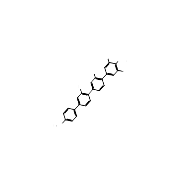 CCCc1ccc(-c2ccc(-c3ccc(-c4cc(F)c(C(F)(F)F)c(F)c4)c(F)c3)c(F)c2)cc1